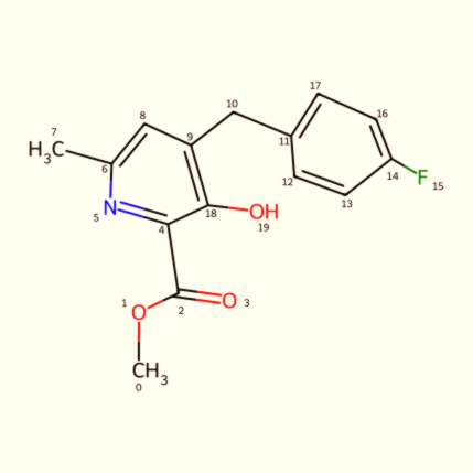 COC(=O)c1nc(C)cc(Cc2ccc(F)cc2)c1O